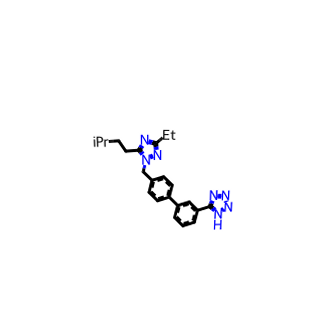 CCc1nc(CCC(C)C)n(Cc2ccc(-c3cccc(-c4nnn[nH]4)c3)cc2)n1